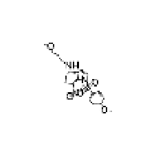 COCCCNc1ccc([N+](=O)[O-])c2c1ccn2S(=O)(=O)c1ccc(OC)cc1